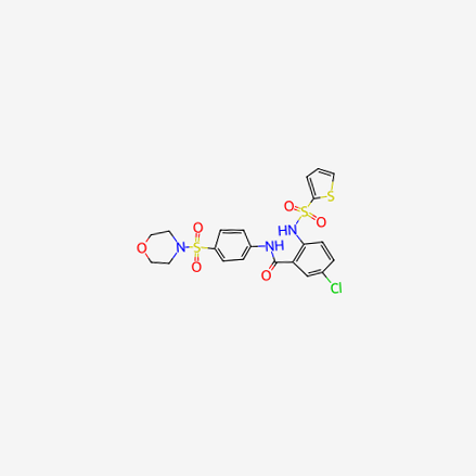 O=C(Nc1ccc(S(=O)(=O)N2CCOCC2)cc1)c1cc(Cl)ccc1NS(=O)(=O)c1cccs1